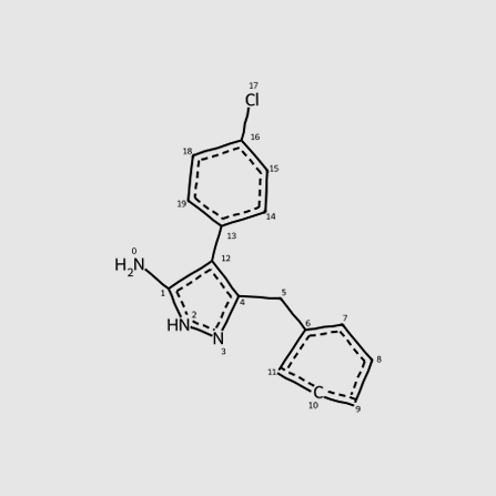 Nc1[nH]nc(Cc2ccccc2)c1-c1ccc(Cl)cc1